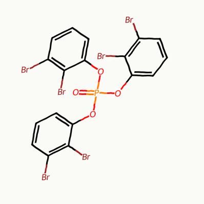 O=P(Oc1cccc(Br)c1Br)(Oc1cccc(Br)c1Br)Oc1cccc(Br)c1Br